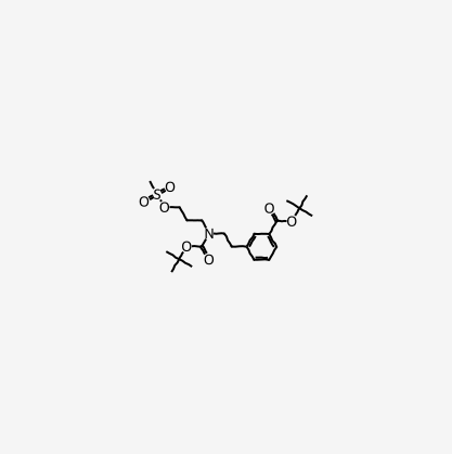 CC(C)(C)OC(=O)c1cccc(CCN(CCCOS(C)(=O)=O)C(=O)OC(C)(C)C)c1